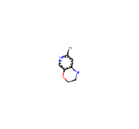 CC(C)c1cc2c(cn1)OCCN2